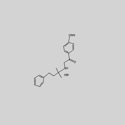 Br.COc1ccc(C(=O)CNC(C)(C)CCc2ccccc2)cc1